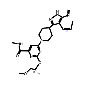 C=Nc1[nH]nc(C2CCN(c3cc(C(=O)NC)nc(O[C@H](C)COC)n3)CC2)c1/C=C\C